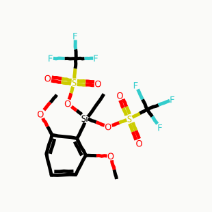 COc1cccc(OC)c1[Si](C)(OS(=O)(=O)C(F)(F)F)OS(=O)(=O)C(F)(F)F